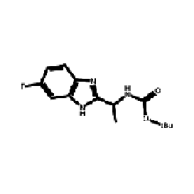 CC(NC(=O)OC(C)(C)C)c1nc2ccc(F)cc2[nH]1